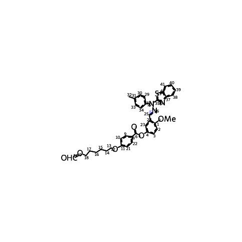 COc1ccc(OC(=O)c2ccc(OCCCCCCOC=O)cc2)cc1/C=N/N(c1ccc(C)cc1)c1nc2ccccc2s1